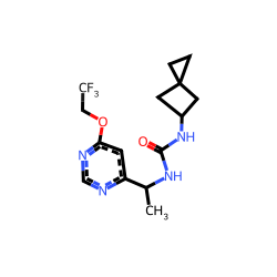 CC(NC(=O)NC1CC2(CC2)C1)c1cc(OCC(F)(F)F)ncn1